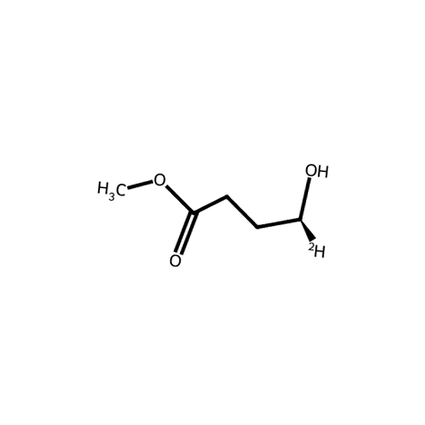 [2H][C@H](O)CCC(=O)OC